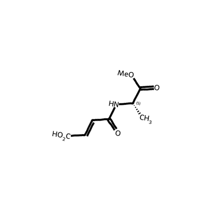 COC(=O)[C@H](C)NC(=O)C=CC(=O)O